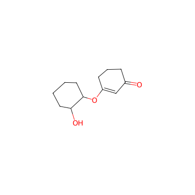 O=C1C=C(OC2CCCCC2O)CCC1